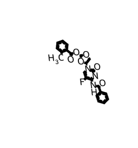 Cc1ccccc1C(=O)O[C@H]1OC[C@@H](n2cc(F)c(NC(=O)c3ccccc3)nc2=O)O1